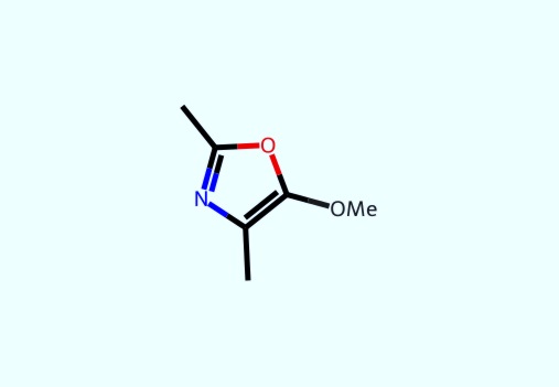 COc1oc(C)nc1C